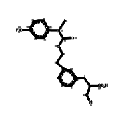 CCOC(Cc1cccc(CCOC(=O)N(C)c2ccc(C(F)(F)F)cc2)c1)C(=O)O